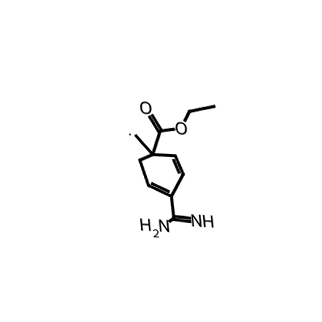 [CH2]C1(C(=O)OCC)C=CC(C(=N)N)=CC1